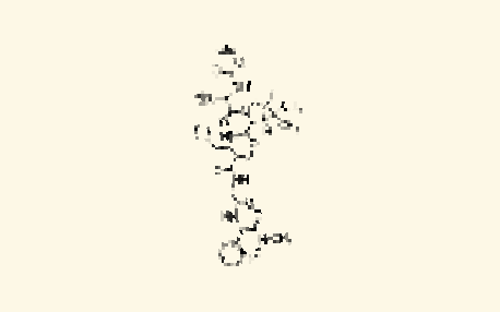 CN(C)C(=O)[C@@H](NC(=O)CNC(=O)C(=O)C(CC1CCC1)NC(=O)[C@@H]1[C@@H]2[C@H](CN1C(=O)[C@@H](NC(=O)OC(C)(C)C)C(C)(C)C)C2(C)C)c1ccccc1